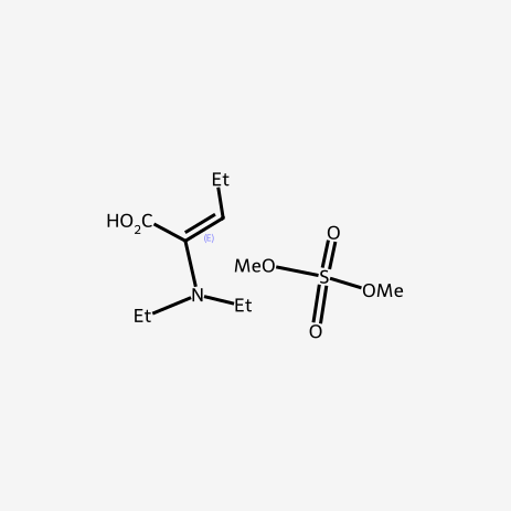 CC/C=C(\C(=O)O)N(CC)CC.COS(=O)(=O)OC